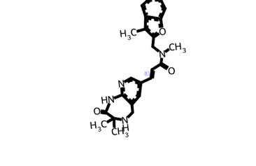 Cc1c(CN(C)C(=O)/C=C/c2cnc3c(c2)CNC(C)(C)C(=O)N3)oc2ccccc12